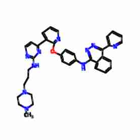 CN1CCN(CCCNc2nccc(-c3cccnc3Oc3ccc(Nc4nnc(-c5ccccn5)c5ccccc45)cc3)n2)CC1